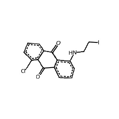 O=C1c2cccc(NCCI)c2C(=O)c2cccc(Cl)c21